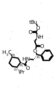 CC(C)[C@@H]1CC[C@@H](C)C[C@H]1C(=O)NC[C@H](OC(=O)CNC(=O)OC(C)(C)C)c1ccccc1